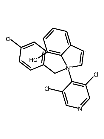 Oc1cccc2c1[N+](Cc1ccc(Cl)cc1)(c1c(Cl)cncc1Cl)C=[C]2